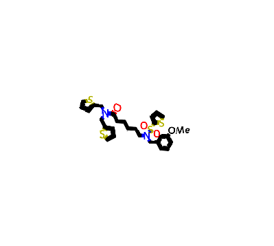 COc1cccc(CN(CCCCCC(=O)N(Cc2cccs2)Cc2cccs2)S(=O)(=O)c2cccs2)c1